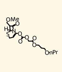 CCCOCCCOC(=O)COC(=O)OC1=CCS[C@H]2C(COC)C(=O)N12